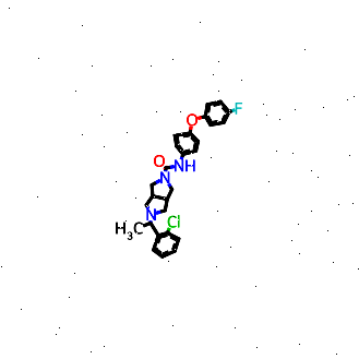 CC(c1ccccc1Cl)N1CC2CN(C(=O)Nc3ccc(Oc4ccc(F)cc4)cc3)CC2C1